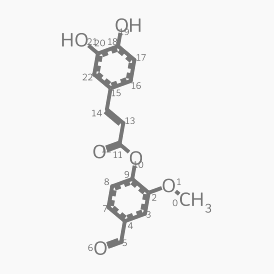 COc1cc(C=O)ccc1OC(=O)C=Cc1ccc(O)c(O)c1